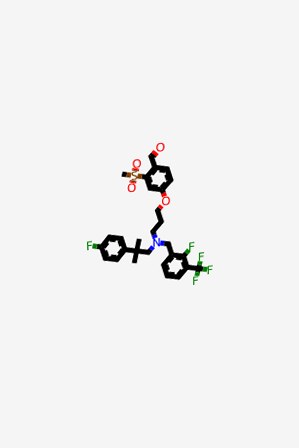 CC(C)(CN(CCCOc1ccc(C=O)c(S(C)(=O)=O)c1)Cc1cccc(C(F)(F)F)c1F)c1ccc(F)cc1